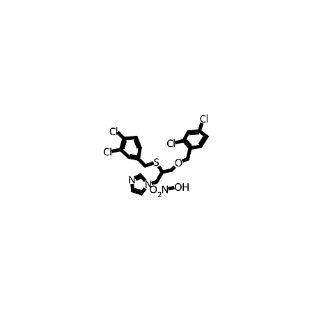 Clc1ccc(COCC(Cn2ccnc2)SCc2ccc(Cl)c(Cl)c2)c(Cl)c1.O=[N+]([O-])O